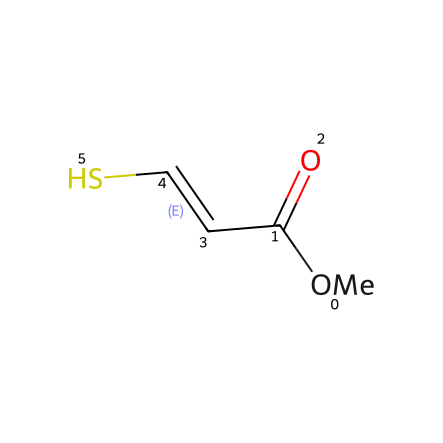 COC(=O)/C=C/S